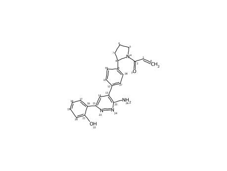 C=CC(=O)N1CCCC1c1ccc(-c2cc(-c3ccccc3O)nnc2N)cc1